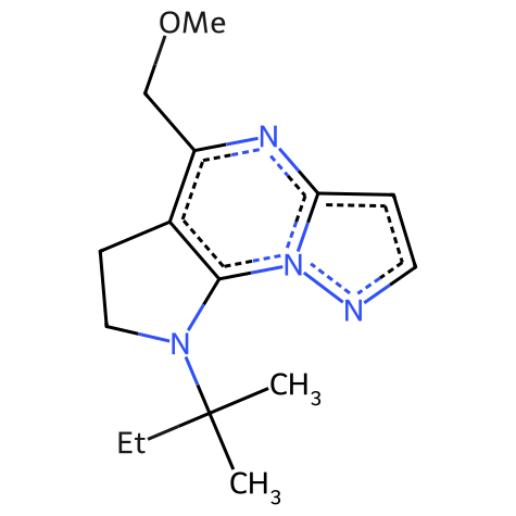 CCC(C)(C)N1CCc2c(COC)nc3ccnn3c21